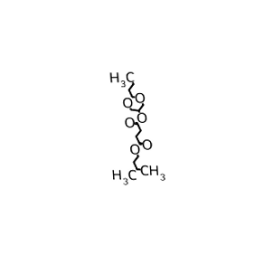 CCCC1OCC(OC(=O)CCC(=O)OCCC(C)C)CO1